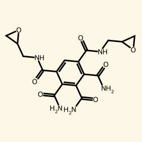 NC(=O)c1c(C(=O)NCC2CO2)cc(C(=O)NCC2CO2)c(C(N)=O)c1C(N)=O